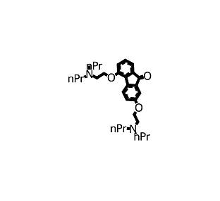 CCCN(CCC)CCOc1ccc2c(c1)C(=O)c1cccc(OCCN(CCC)CCC)c1-2